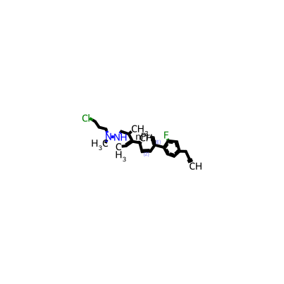 C#CCc1ccc(C(/C=C\C(=C)C(=CC)C(C)CNN(C)CCCCl)=C/CCC)c(F)c1